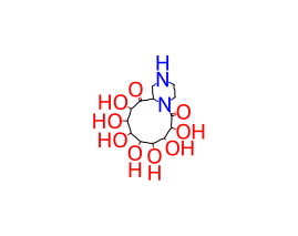 O=C1C(O)C(O)C(O)C(O)C(O)C(O)C(O)C(=O)N2CCNCC12